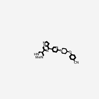 CN/C=C(\C=N)c1cn2nccc2c(-c2ccc(N3CCC(Oc4ccc(C#N)cc4)CC3)nc2)n1